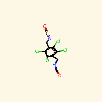 O=C=NCc1c(Cl)c(Cl)c(CN=C=O)c(Cl)c1Cl